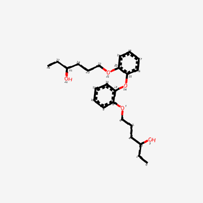 CCC(O)CCCOc1ccccc1Oc1ccccc1OCCCC(O)CC